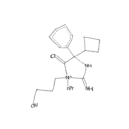 CCC[N+]1(CCCO)C(=N)NC(c2ccccc2)(C2CCC2)C1=O